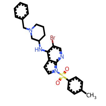 Cc1ccc(S(=O)(=O)n2ccc3c(NC4CCCN(Cc5ccccc5)C4)c(Br)cnc32)cc1